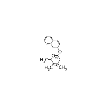 CC1O[C@H](Oc2ccc3ccccc3c2)C[C@@H](C)[C@H]1C